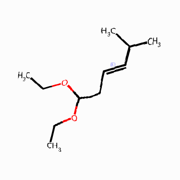 CCOC(C/C=C/C(C)C)OCC